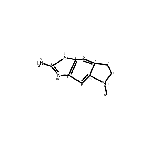 CN1CCc2cc3sc(N)nc3cc21